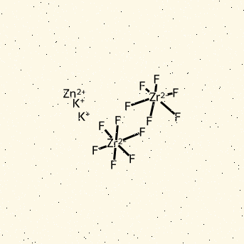 [F][Zr-2]([F])([F])([F])([F])[F].[F][Zr-2]([F])([F])([F])([F])[F].[K+].[K+].[Zn+2]